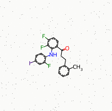 Cc1ccccc1CCC(=O)c1ccc(F)c(F)c1Nc1ccc(I)cc1F